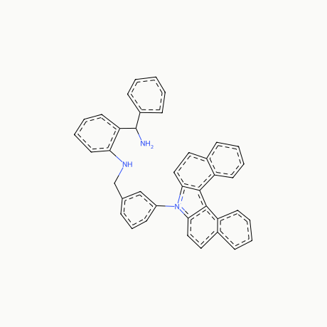 NC(c1ccccc1)c1ccccc1NCc1cccc(-n2c3ccc4ccccc4c3c3c4ccccc4ccc32)c1